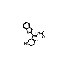 CC(=O)Nc1sc2c(c1-c1nc3ccccc3s1)CNCC2